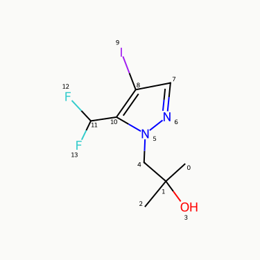 CC(C)(O)Cn1ncc(I)c1C(F)F